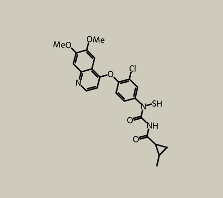 COc1cc2nccc(Oc3ccc(N(S)C(=O)NC(=O)C4CC4C)cc3Cl)c2cc1OC